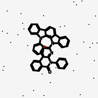 O=c1c2ccccc2c2cnc(-n3c4ccccc4c4ccc5c6ccccc6n(-c6ccccc6)c5c43)nc2n1-c1ccccc1